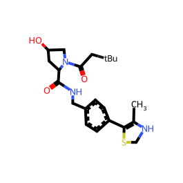 CC1=C(c2ccc(CNC(=O)C3CC(O)CN3C(=O)CC(C)(C)C)cc2)SCN1